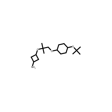 CC(C)(C)OC1CCC(OCC(C)(C)OC2CC(N)C2)CC1